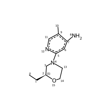 CC[C@H]1CN(c2cc(N)c(C)cn2)CCO1